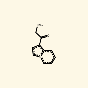 CNCC(=O)c1ccn2ccccc12